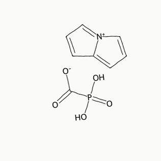 C1=CC2=CC=C[N+]2=C1.O=C([O-])P(=O)(O)O